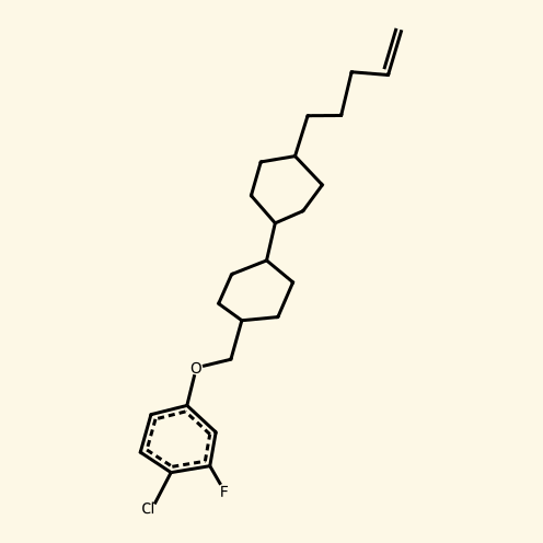 C=CCCCC1CCC(C2CCC(COc3ccc(Cl)c(F)c3)CC2)CC1